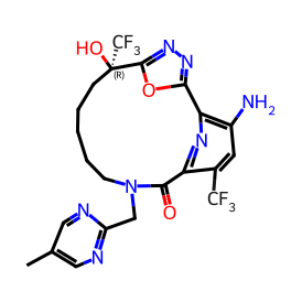 Cc1cnc(CN2CCCCC[C@](O)(C(F)(F)F)c3nnc(o3)-c3nc(c(C(F)(F)F)cc3N)C2=O)nc1